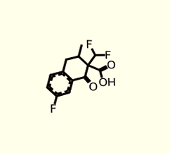 CC1Cc2ccc(F)cc2C(=O)C1(C(=O)O)C(F)F